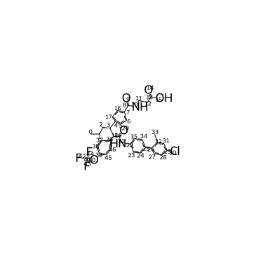 CCC[C@@H](c1ccc(C(=O)NCCC(=O)O)cc1)[C@@H](C(=O)Nc1ccc(-c2ccc(Cl)cc2C)cc1)c1ccc(OC(F)(F)F)cc1